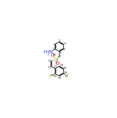 Nc1ccccc1CS(=O)(=O)/C=C\c1ccc(F)cc1F